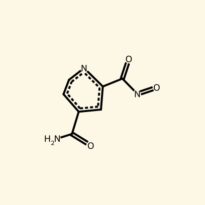 NC(=O)c1ccnc(C(=O)N=O)c1